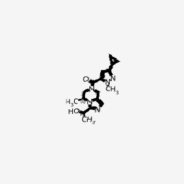 C[C@@H](O)c1ncc2n1[C@@H](C)CN(C(=O)c1cc(C3CC3)nn1C)C2